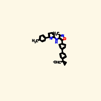 Cc1ccc(-c2cccc(Nc3c(C)noc3-c3ccc(-c4ccc(C5([C]=O)CC5)cc4)cc3)n2)cc1